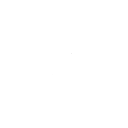 Cc1ccc(N(C2=CC(C)(C)C(C)C=C2)c2c3ccccc3c(N(c3ccc(C)c(C)c3)c3ccc(C)c(C)c3)c3ccccc23)cc1C